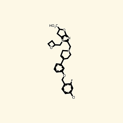 O=C(O)C1Cc2c(nc(CN3CC=C(c4cccc(OCc5ccc(Cl)cc5F)c4)CC3)n2CC2CCO2)O1